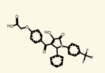 O=C(O)COc1ccc(C(=O)C2=C(O)C(=O)N(c3ccc(C(F)(F)F)cc3)C2c2ccccc2)cc1